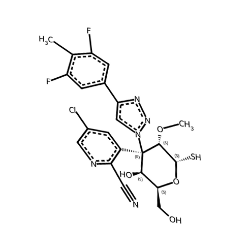 CO[C@@H]1[C@H](S)O[C@@H](CO)[C@@H](O)[C@@]1(c1cc(Cl)cnc1C#N)n1cc(-c2cc(F)c(C)c(F)c2)nn1